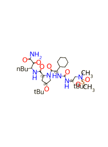 CCCCC(NC(=O)[C@@H]1C[C@@H](OC(C)(C)C)CN1C(=O)[C@@H](NC(=O)N[C@H](CN(C)S(C)(=O)=O)C(C)(C)C)C1CCCCC1)C(=O)C(N)=O